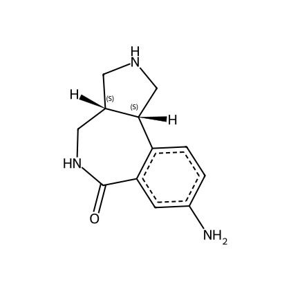 Nc1ccc2c(c1)C(=O)NC[C@@H]1CNC[C@H]21